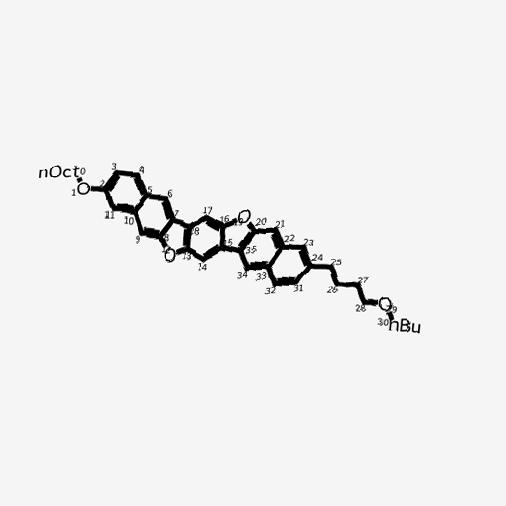 CCCCCCCCOc1ccc2cc3c(cc2c1)oc1cc2c(cc13)oc1cc3cc(CCCCOCCCC)ccc3cc12